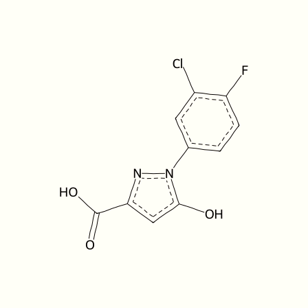 O=C(O)c1cc(O)n(-c2ccc(F)c(Cl)c2)n1